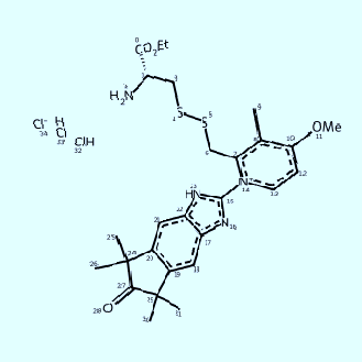 CCOC(=O)[C@@H](N)CSSCc1c(C)c(OC)cc[n+]1-c1nc2cc3c(cc2[nH]1)C(C)(C)C(=O)C3(C)C.Cl.Cl.[Cl-]